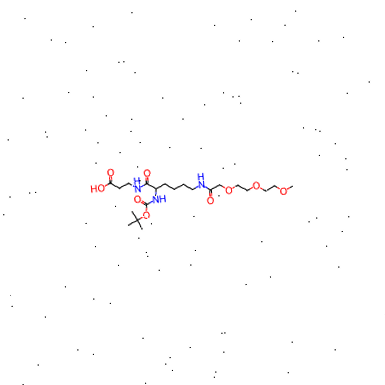 COCCOCCOCC(=O)NCCCCC(NC(=O)OC(C)(C)C)C(=O)NCCC(=O)O